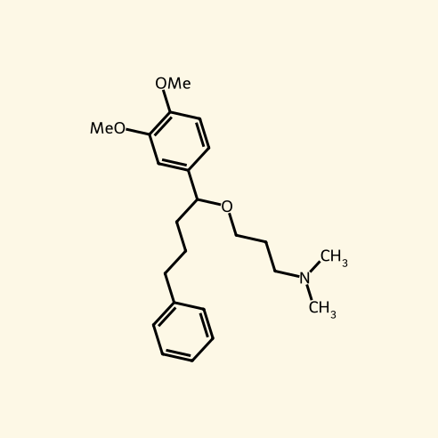 COc1ccc(C(CCCc2ccccc2)OCCCN(C)C)cc1OC